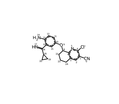 N#Cc1cc2c(nc1Cl)C(Oc1ccc(N)c(C(=N)C3CC3)c1)CCC2